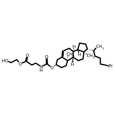 CC(C)CCCC(C)[C@H]1CC[C@H]2[C@@H]3CC=C4C[C@@H](OC(=O)NCCC(=O)OCCO)CC[C@]4(C)[C@H]3CC[C@]12C